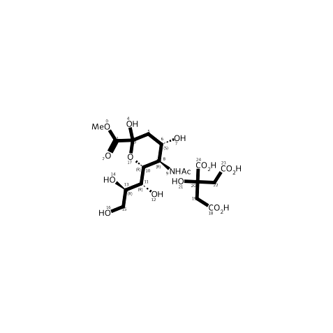 COC(=O)C1(O)C[C@H](O)[C@@H](NC(C)=O)[C@H]([C@H](O)[C@H](O)CO)O1.O=C(O)CC(O)(CC(=O)O)C(=O)O